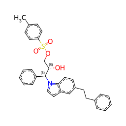 Cc1ccc(S(=O)(=O)OC[C@H](O)[C@H](c2ccccc2)n2ccc3cc(CCc4ccccc4)ccc32)cc1